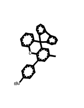 Cc1cc(-c2ccc(C(C)(C)C)cc2)c2c(c1)C1(c3ccccc3O2)c2ccccc2-c2ccccc21